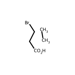 CC.O=C(O)CCBr